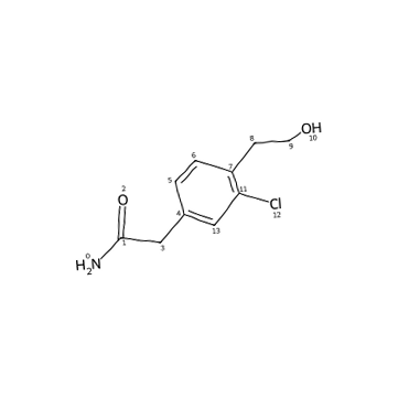 NC(=O)Cc1ccc(CCO)c(Cl)c1